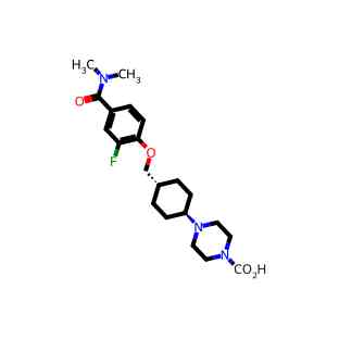 CN(C)C(=O)c1ccc(OC[C@H]2CC[C@H](N3CCN(C(=O)O)CC3)CC2)c(F)c1